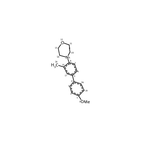 COc1ccc(-c2ccc(N3CCOCC3)c(C)c2)cc1